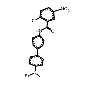 CCN(C)c1ccc(-c2ccc(NC(=O)c3cc([N+](=O)[O-])ccc3Cl)cc2)cc1